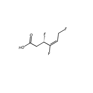 O=C(O)C[C@H](F)/C(F)=C\CF